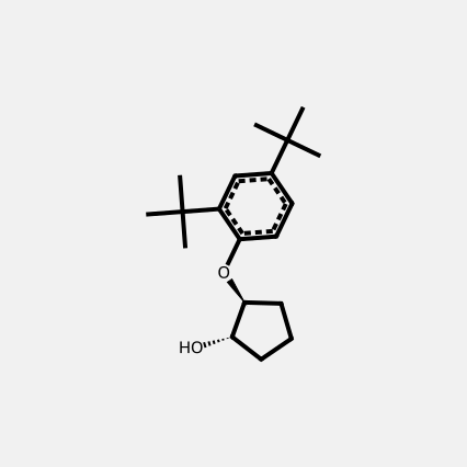 CC(C)(C)c1ccc(O[C@H]2CCC[C@@H]2O)c(C(C)(C)C)c1